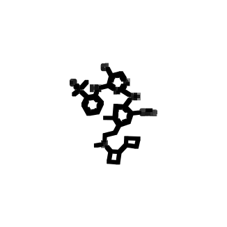 COc1cc(CCN(C)C2CCC2C2CCC2)c(C)cc1Nc1ncc(Cl)c(Nc2ccccc2P(C)(C)=O)n1